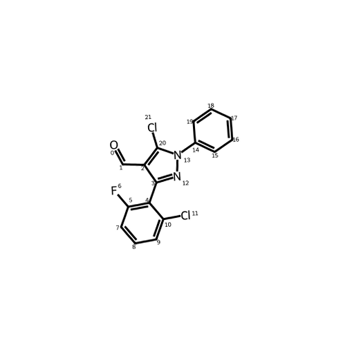 O=Cc1c(-c2c(F)cccc2Cl)nn(-c2ccccc2)c1Cl